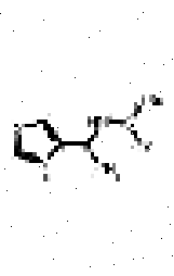 C[C@H](N[S+]([O-])C(C)(C)C)c1cscn1